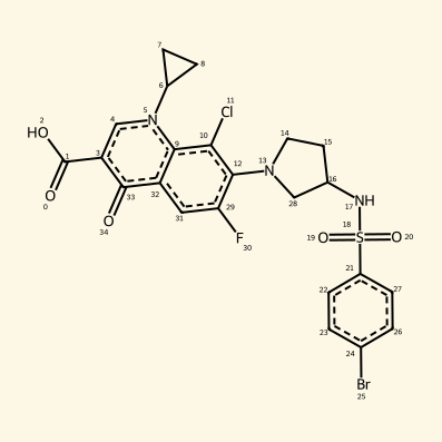 O=C(O)c1cn(C2CC2)c2c(Cl)c(N3CCC(NS(=O)(=O)c4ccc(Br)cc4)C3)c(F)cc2c1=O